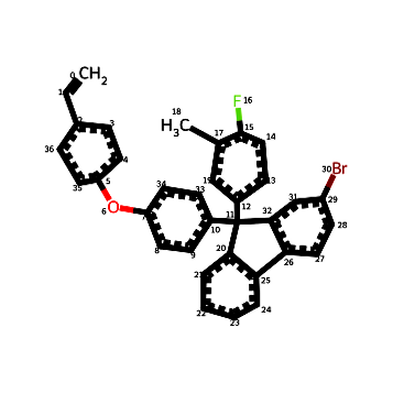 C=Cc1ccc(Oc2ccc(C3(c4ccc(F)c(C)c4)c4ccccc4-c4ccc(Br)cc43)cc2)cc1